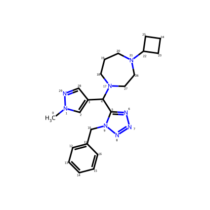 Cn1cc(C(c2nnnn2Cc2ccccc2)N2CCCN(C3CCC3)CC2)cn1